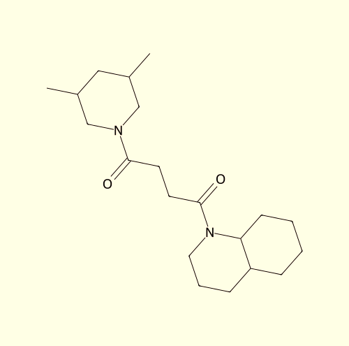 CC1CC(C)CN(C(=O)CCC(=O)N2CCCC3CCCCC32)C1